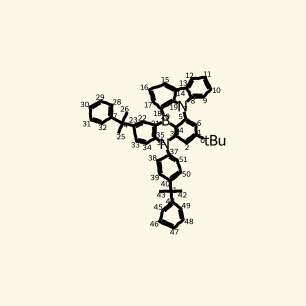 CC(C)(C)c1cc2c3c(c1)-n1c4ccccc4c4cccc(c41)B3c1cc(C(C)(C)c3ccccc3)ccc1N2c1ccc(C(C)(C)c2ccccc2)cc1